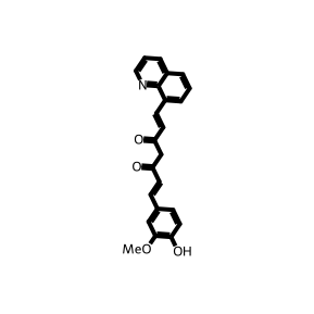 COc1cc(C=CC(=O)CC(=O)C=Cc2cccc3cccnc23)ccc1O